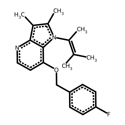 CC(C)=C(C)n1c(C)c(C)c2nccc(OCc3ccc(F)cc3)c21